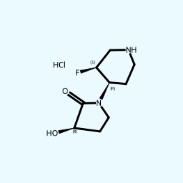 Cl.O=C1[C@H](O)CCN1[C@@H]1CCNC[C@@H]1F